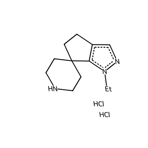 CCn1ncc2c1C1(CCNCC1)CC2.Cl.Cl